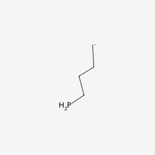 [CH2]CCCP